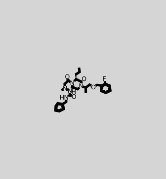 CCC[C@H]1C(=O)N(C(C)COCc2ccccc2F)C[C@H]2N1C(=O)CN(C)N2C(=O)NCc1ccccc1